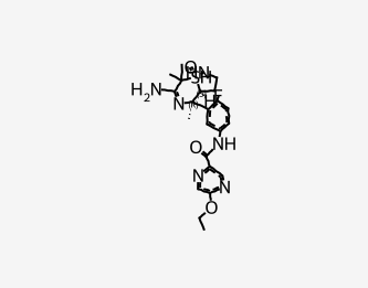 CCOc1cnc(C(=O)Nc2ccc(F)c([C@@]3(C)N=C(N)C(C)(C)[SH]4(=O)NCC[C@@H]34)c2)cn1